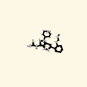 COCOc1ccccc1-c1cc2c(nn1)c(NC(=O)O)nn2C1CCNCC1